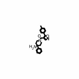 Cc1ccc(-c2oncc2C(=O)N2CCC(N)(c3ccccc3)CC2)cc1